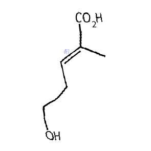 C/C(=C\CCO)C(=O)O